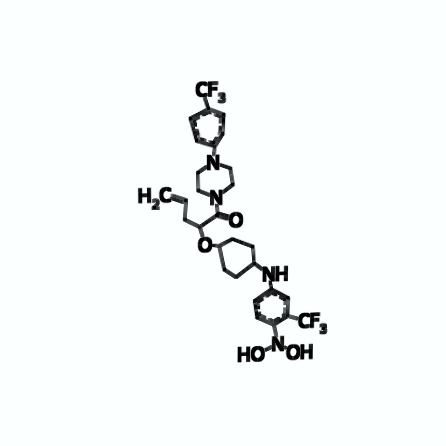 C=CCC(OC1CCC(Nc2ccc(N(O)O)c(C(F)(F)F)c2)CC1)C(=O)N1CCN(c2ccc(C(F)(F)F)cc2)CC1